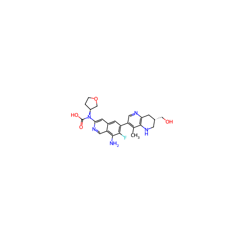 Cc1c(-c2cc3cc(N(C(=O)O)[C@H]4CCOC4)ncc3c(N)c2F)cnc2c1NC[C@@H](CO)C2